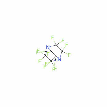 FC1(F)N2C(F)(F)C(F)(F)N(C1(F)F)C(F)(F)C2(F)F